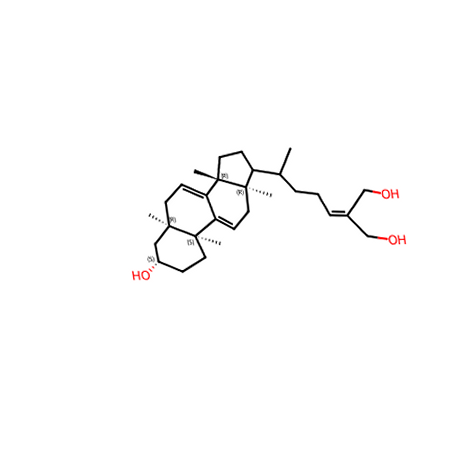 CC(CCC=C(CO)CO)C1CC[C@@]2(C)C3=CC[C@]4(C)C[C@@H](O)CC[C@]4(C)C3=CC[C@]12C